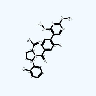 COc1ncc(-c2ccc(C(=O)N3[C@@H](c4ccccc4Cl)CC[C@H]3C(=O)O)cc2Cl)c(OC)n1